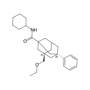 CCOC[C@]12CC3CC(C(=O)NC4CCCCC4)(C1)C[C@@](c1ccccc1)(C3)C2